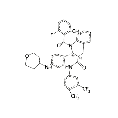 Cc1ccc(NC(=O)[C@H]2Cc3ccccc3N(C(=O)c3c(C)cccc3F)[C@H]2c2ccc(NC3CCOCC3)cc2)cc1C(F)(F)F